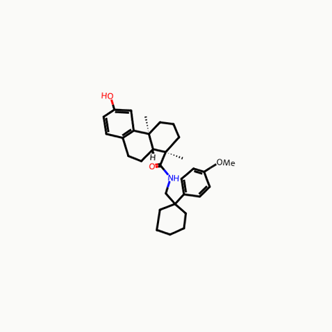 COc1ccc(C2(CNC(=O)[C@]3(C)CCC[C@]4(C)c5cc(O)ccc5CC[C@@H]34)CCCCC2)cc1